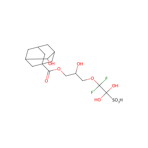 O=C(OCC(O)COC(F)(F)C(O)(O)S(=O)(=O)O)C12CC3CC(C1)C(O)C(C3)C2